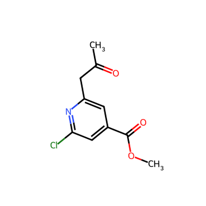 COC(=O)c1cc(Cl)nc(CC(C)=O)c1